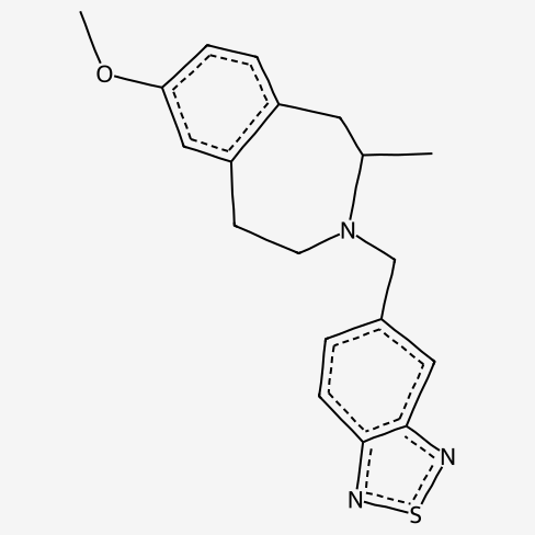 COc1ccc2c(c1)CCN(Cc1ccc3nsnc3c1)C(C)C2